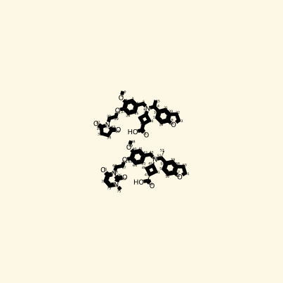 COc1cc(CN(C2CC(C(=O)O)C2)C(C)c2ccc3c(c2)CCO3)ccc1OCCN1C(=O)CCC1=O.COc1cc(CN([C@H]2C[C@@H](C(=O)O)C2)[C@H](C)c2ccc3c(c2)CCO3)ccc1OCCn1c(=O)ccn(C)c1=O